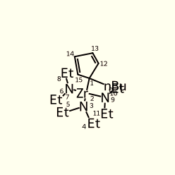 CCCC[C]1([Zr]([N](CC)CC)([N](CC)CC)[N](CC)CC)C=CC=C1